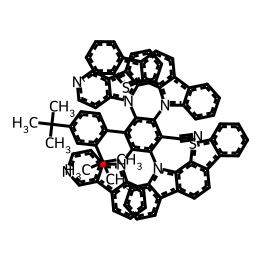 CC(C)(C)c1ccc(-c2c(-n3c4ccccc4c4cnccc43)c(-n3c4ccccc4c4ccc5c6ccccc6sc5c43)c(C#N)c(-n3c4ccccc4c4ccc5c6ccccc6sc5c43)c2-n2c3ccccc3c3cnccc32)c(C(C)(C)C)c1